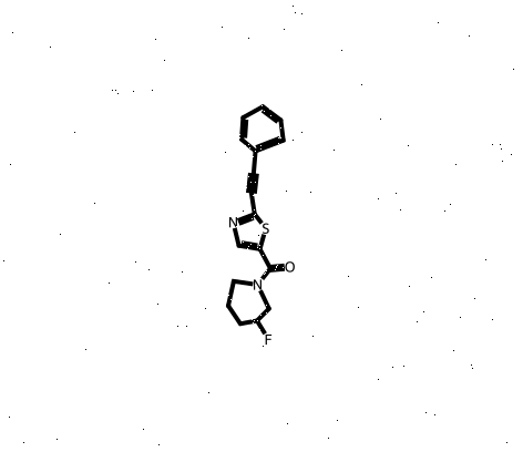 O=C(c1cnc(C#Cc2ccccc2)s1)N1CCCC(F)C1